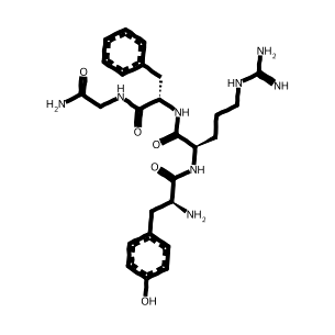 N=C(N)NCCC[C@@H](NC(=O)[C@@H](N)Cc1ccc(O)cc1)C(=O)N[C@@H](Cc1ccccc1)C(=O)NCC(N)=O